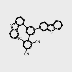 N#Cc1cc(C#N)c(-c2cc(-c3ccc4c(c3)sc3ccccc34)cc(-c3cccc4sc5ccccc5c34)c2)c(C#N)c1